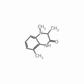 Cc1cccc2c1NC(=O)C(C)N2C